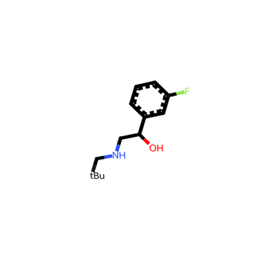 CC(C)(C)CNCC(O)c1cccc(F)c1